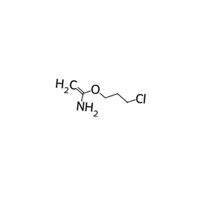 C=C(N)OCCCCl